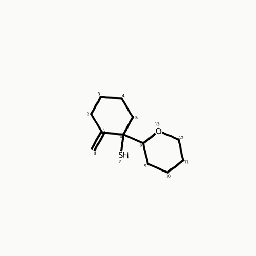 C=C1CCCCC1(S)C1CCCCO1